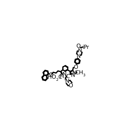 Cc1nn(C)c(COc2ccc(N3CCN(C(=O)C(C)C)CC3)cc2)c1C1=C2C(CC=C1)C(CCCOc1cccc3ccccc13)=C(C(=O)O)N2CCN1CCOCC1